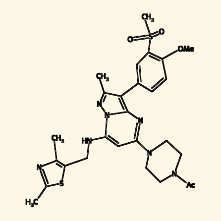 COc1ccc(-c2c(C)nn3c(NCc4sc(C)nc4C)cc(N4CCN(C(C)=O)CC4)nc23)cc1S(C)(=O)=O